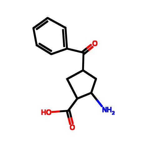 NC1CC(C(=O)c2ccccc2)CC1C(=O)O